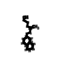 CN(CCCO)CCc1ccc2ccccc2c1